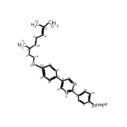 CCCCCCCc1ccc(-c2ncc(-c3ccc(OCCC(C)CCC=C(C)C)cc3)cn2)cc1